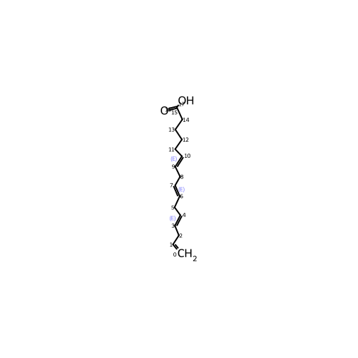 C=CC/C=C/C/C=C/C/C=C/CCCCC(=O)O